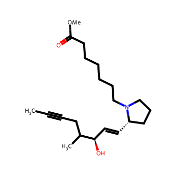 CC#CCC(C)[C@H](O)/C=C/[C@H]1CCCN1CCCCCCC(=O)OC